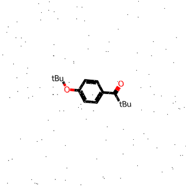 CC(C)(C)Oc1ccc(C(=O)C(C)(C)C)cc1